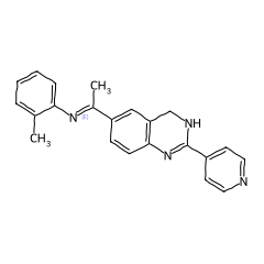 C/C(=N\c1ccccc1C)c1ccc2c(c1)CNC(c1ccncc1)=N2